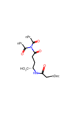 CCCCCCCCCCCC(=O)N[C@@H](CCC(=O)N(C(=O)CCC)C(=O)CCC)C(=O)O